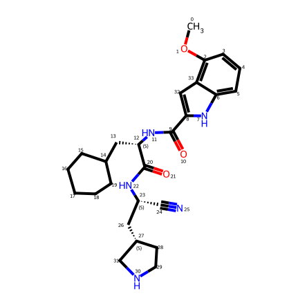 COc1cccc2[nH]c(C(=O)N[C@@H](CC3CCCCC3)C(=O)N[C@H](C#N)C[C@@H]3CCNC3)cc12